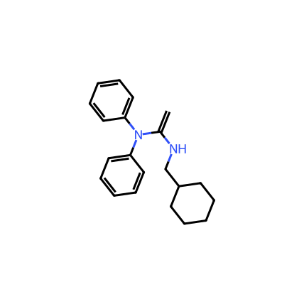 C=C(NCC1CCCCC1)N(c1ccccc1)c1ccccc1